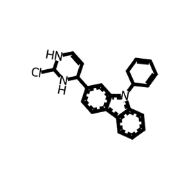 ClC1NC=CC(c2ccc3c4ccccc4n(C4C=CC=CC4)c3c2)N1